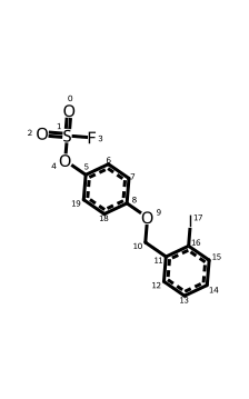 O=S(=O)(F)Oc1ccc(OCc2ccccc2I)cc1